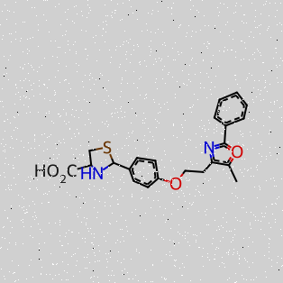 Cc1oc(-c2ccccc2)nc1CCOc1ccc(C2NC(C(=O)O)CS2)cc1